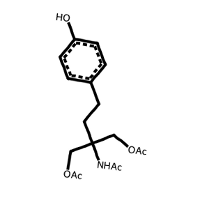 CC(=O)NC(CCc1ccc(O)cc1)(COC(C)=O)COC(C)=O